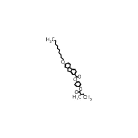 CCCCCCCCCCOc1ccc2c(c1)Cc1cc(C(=O)Oc3ccc(OC(=O)C(C)CC)cc3)ccc1-2